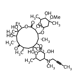 CC#CCN(C)[C@H]1C[C@@H](C)O[C@@H](O[C@@H]2[C@@H](C)[C@H](O[C@H]3C[C@@](C)(OC)[C@@H](O)[C@H](C)O3)[C@@H](C)C(=O)O[C@H](CC)[C@@](C)(O)[C@H](O)[C@@H](C)C(=O)[C@H](C)C[C@@]2(C)O)[C@@H]1O